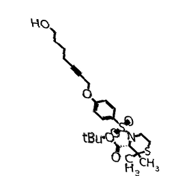 CC(C)(C)OC(=O)[C@@H]1N(S(=O)(=O)c2ccc(OCC#CCCCCO)cc2)CCSC1(C)C